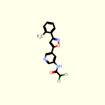 O=C(Nc1cncc(-c2cc(-c3ccccc3C(F)(F)F)no2)c1)C(Cl)Cl